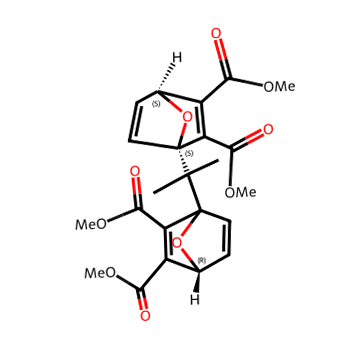 COC(=O)C1=C(C(=O)OC)[C@@]2(C(C)(C)C34C=C[C@@H](O3)C(C(=O)OC)=C4C(=O)OC)C=C[C@@H]1O2